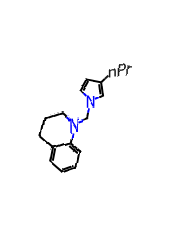 CCCc1ccn(CN2CCCc3ccccc32)c1